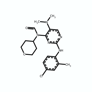 Cc1cc(Cl)ccc1Nc1ncc(N(C)C)c(N(C=O)C2CCOCC2)n1